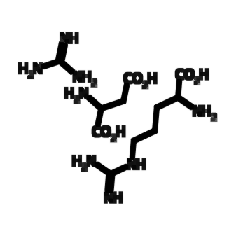 N=C(N)N.N=C(N)NCCCC(N)C(=O)O.NC(CC(=O)O)C(=O)O